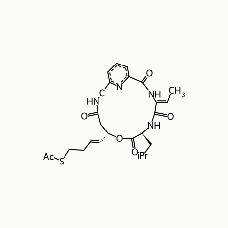 C/C=C1\NC(=O)c2cccc(n2)CNC(=O)C[C@@H](/C=C/CCSC(C)=O)OC(=O)[C@H](CC(C)C)NC1=O